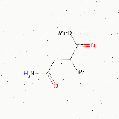 COC(=O)C(CC(N)=O)C(C)C